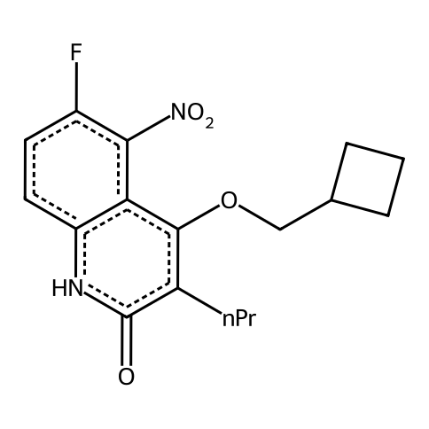 CCCc1c(OCC2CCC2)c2c([N+](=O)[O-])c(F)ccc2[nH]c1=O